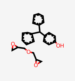 C(OCC1CO1)C1CO1.Oc1ccc(C(c2ccccc2)c2ccccc2)cc1